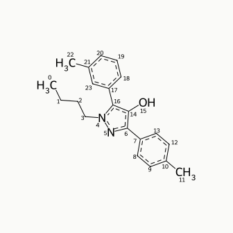 CCCCn1nc(-c2ccc(C)cc2)c(O)c1-c1cccc(C)c1